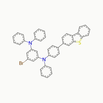 Brc1cc(N(c2ccccc2)c2ccccc2)cc(N(c2ccccc2)c2ccc(-c3ccc4c(c3)sc3ccccc34)cc2)c1